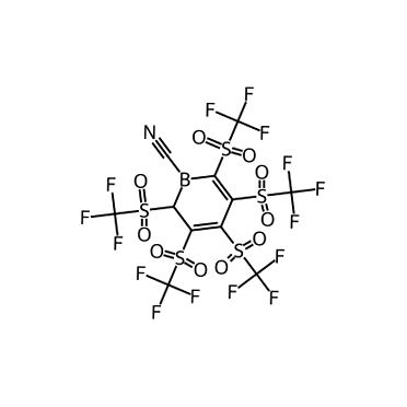 N#CB1C(S(=O)(=O)C(F)(F)F)=C(S(=O)(=O)C(F)(F)F)C(S(=O)(=O)C(F)(F)F)=C(S(=O)(=O)C(F)(F)F)C1S(=O)(=O)C(F)(F)F